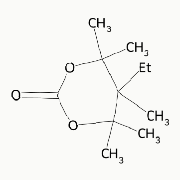 CCC1(C)C(C)(C)OC(=O)OC1(C)C